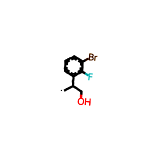 [CH2]C(CO)c1cccc(Br)c1F